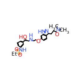 CCS(=O)(=O)Nc1cccc([C@@H](O)CNCCOc2ccc3c(CCC(=O)N(C)C)n[nH]c3c2)c1